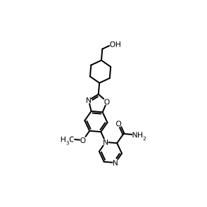 COc1cc2nc(C3CCC(CO)CC3)oc2cc1N1C=CN=CC1C(N)=O